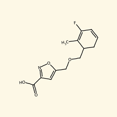 CC1=C(F)C=CCC1COCc1cc(C(=O)O)no1